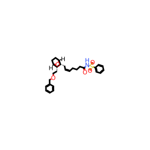 O=C(CCC/C=C\C[C@@H]1[C@H](CCOCc2ccccc2)[C@@H]2CC[C@H]1O2)NS(=O)(=O)c1ccccc1